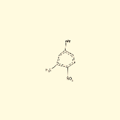 CCCc1ccc([N+](=O)[O-])c(C)c1